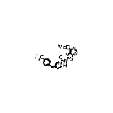 COc1ncnc2sc(NC(=O)N3CCC(Cc4ccc(C(F)(F)F)cc4)C3)nc12